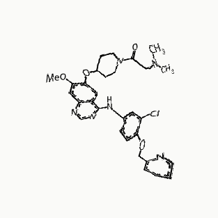 COc1cc2ncnc(Nc3ccc(OCc4ccccn4)c(Cl)c3)c2cc1OC1CCN(C(=O)CN(C)C)CC1